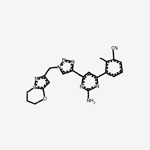 Cc1c(C#N)cccc1-c1cc(-c2cn(Cc3cc4n(n3)CCCO4)nn2)nc(N)n1